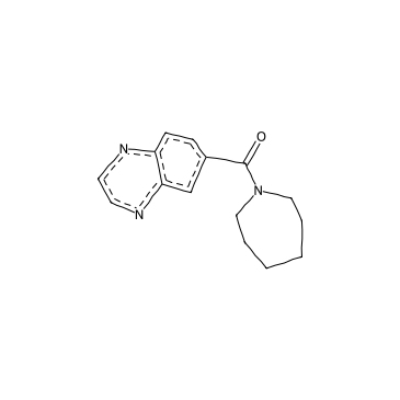 O=C(c1ccc2nccnc2c1)N1CCCCCC1